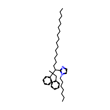 CCCCCCCCCCCCCCCCC(c1nccn1CCCCCCC)C(C)(Cc1ccccc1)c1ccccc1